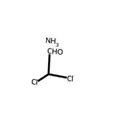 N.O=CC(Cl)Cl